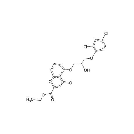 CCOC(=O)c1cc(=O)c2c(OCC(O)COc3ccc(Cl)cc3Cl)cccc2o1